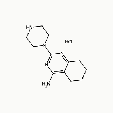 Cl.Nc1nc(N2CCNCC2)nc2c1CCCC2